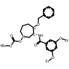 CCOc1cc(OCC)cc(C(=O)N[C@@H]2CN(OC(=O)OC(C)(C)C)CCC[C@H]2OCc2ccccc2)c1